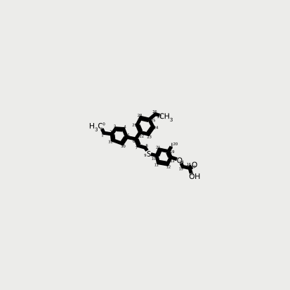 CCc1ccc(C(=CCSc2ccc(OCC(=O)O)c(I)c2)c2ccc(CC)cc2)cc1